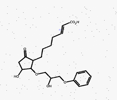 O=C(O)/C=C/CCCCC1C(=O)CC(O)C1OCC(O)COc1ccccc1